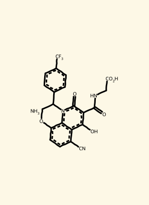 N.N#Cc1ccc2c3c1c(O)c(C(=O)NCC(=O)O)c(=O)n3C(c1ccc(C(F)(F)F)cc1)CO2